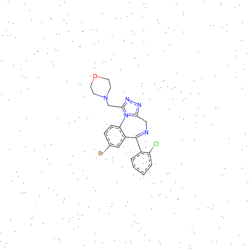 Clc1ccccc1C1=NCc2nnc(CN3CCOCC3)n2-c2ccc(Br)cc21